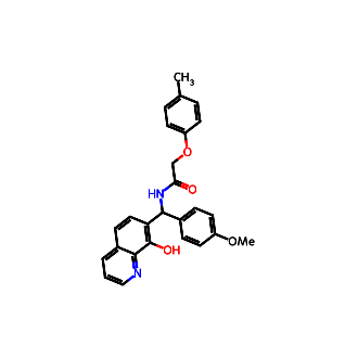 COc1ccc(C(NC(=O)COc2ccc(C)cc2)c2ccc3cccnc3c2O)cc1